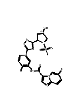 Cc1ccc(-c2noc(C3C[C@@H](O)CN3S(C)(=O)=O)n2)cc1NC(=O)c1cnc2ccc(F)cn12